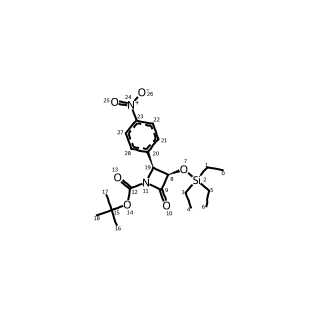 CC[Si](CC)(CC)O[C@H]1C(=O)N(C(=O)OC(C)(C)C)[C@H]1c1ccc([N+](=O)[O-])cc1